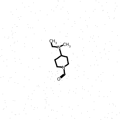 CCN(C)C1CCN(C=O)CC1